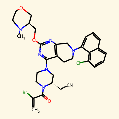 C=C(Br)C(=O)N1CCN(c2nc(OC[C@@H]3COCCN3C)nc3c2CCN(c2cccc4cccc(Cl)c24)C3)C[C@@H]1CC#N